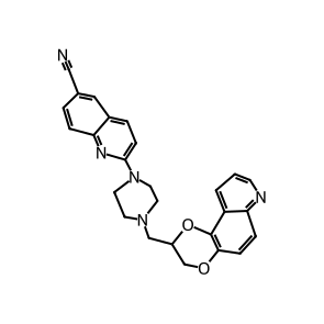 N#Cc1ccc2nc(N3CCN(CC4COc5ccc6ncccc6c5O4)CC3)ccc2c1